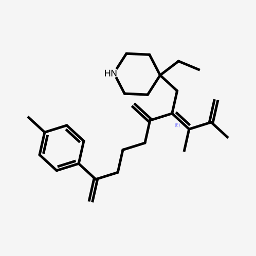 C=C(C)/C(C)=C(\CC1(CC)CCNCC1)C(=C)CCCC(=C)c1ccc(C)cc1